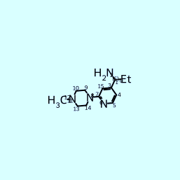 CC[C@H](N)c1ccnc(N2CCN(C)CC2)c1